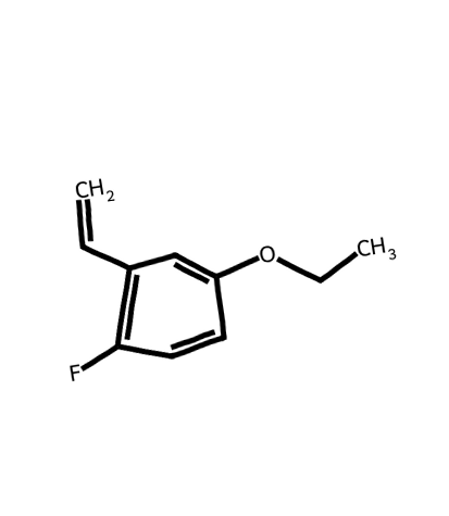 C=Cc1cc(OCC)ccc1F